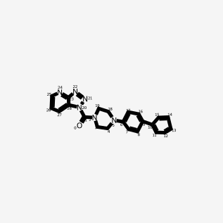 O=C(N1CCN(c2ccc(-c3ccccc3)cc2)CC1)n1nnc2ncccc21